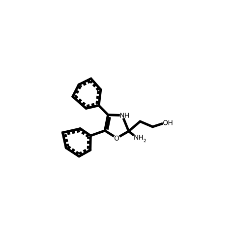 NC1(CCO)NC(c2ccccc2)=C(c2ccccc2)O1